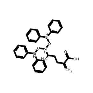 C=C(CCC(C)[SiH](O[SiH](c1ccccc1)c1ccccc1)O[SiH](c1ccccc1)c1ccccc1)C(=O)O